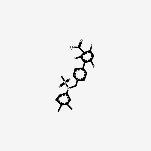 Cc1ccc(N(Cc2ccc(-c3c(F)cc(F)c(C(N)=O)c3F)cc2)S(C)(=O)=O)cc1C